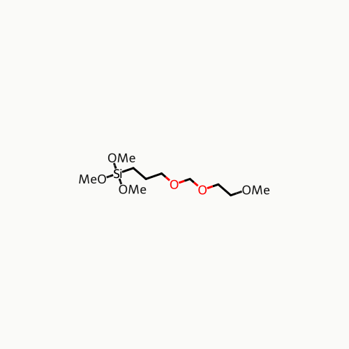 COCCOCOCCC[Si](OC)(OC)OC